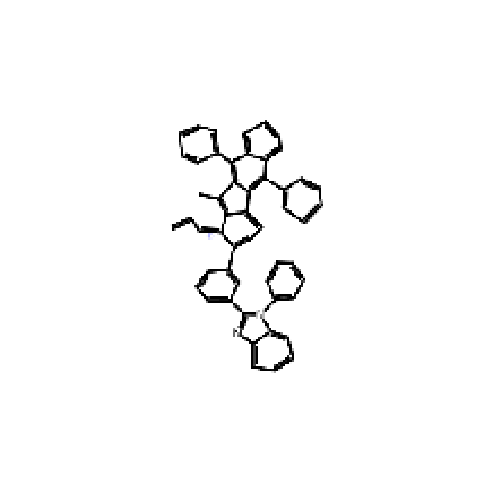 C=C/C=c1/c(-c2cccc(-c3nc4ccccc4n3-c3ccccc3)c2)ccc2c1=C(C)c1c-2c(-c2ccccc2)c2ccccc2c1-c1ccccc1